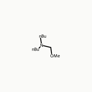 CCCCN(CCCC)COC